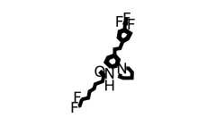 O=C(CCCCCC(F)CF)Nc1ccc(CCc2ccc(C(F)(F)F)cc2)cc1N1CCCCC1